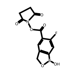 O=C(ON1C(=O)CCC1=O)c1cc2c(cc1F)B(O)OC2